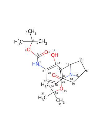 CC(C)(C)OC(=O)Nc1ccc2c(c1O)C1CCC(C2)N1C(=O)OC(C)(C)C